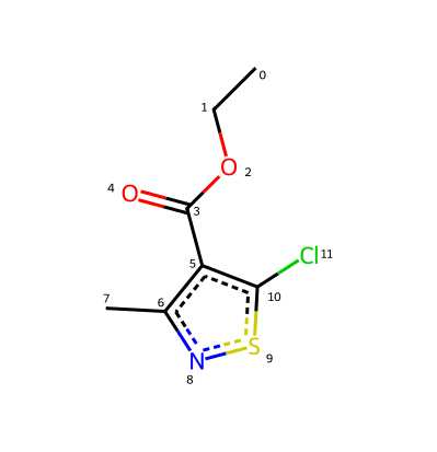 CCOC(=O)c1c(C)nsc1Cl